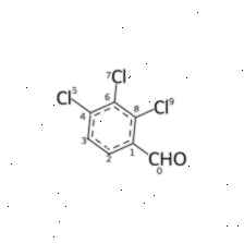 O=Cc1ccc(Cl)c(Cl)c1Cl